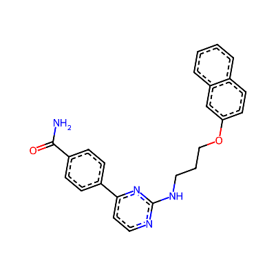 NC(=O)c1ccc(-c2ccnc(NCCCOc3ccc4ccccc4c3)n2)cc1